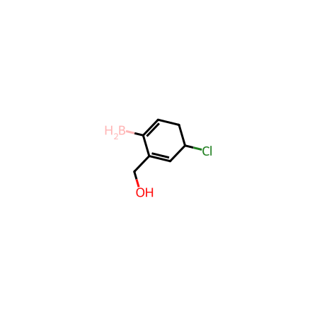 BC1=CCC(Cl)C=C1CO